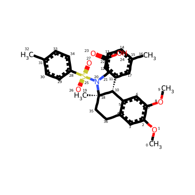 COc1cc2c(cc1OC)[C@@H](c1cccc(C)c1)[C@](C)(N(CC(=O)O)S(=O)(=O)c1ccc(C)cc1)CC2